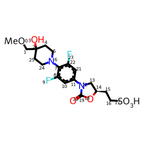 COCC1(O)CCN(c2c(F)cc(N3C[C@@H](CCS(=O)(=O)O)OC3=O)cc2F)CC1